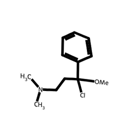 COC(Cl)(CCN(C)C)c1ccccc1